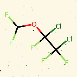 FC(F)OC(F)(Cl)C(F)(F)Cl